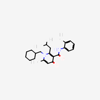 Cc1ccccc1NC(=O)c1c(CC(C)C)n(CC2CCCCC2)c(C)cc1=O